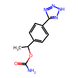 CC(OC(N)=O)c1ccc(-c2nn[nH]n2)cc1